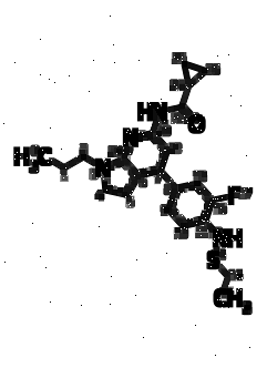 CCCn1ccc2c(-c3ccc(NSCC)c(F)c3)cc(NC(=O)C3CC3)nc21